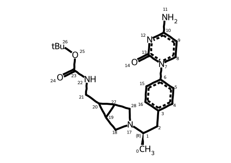 C[C@H](Cc1ccc(-n2ccc(N)nc2=O)cc1)N1CC2C(CNC(=O)OC(C)(C)C)C2C1